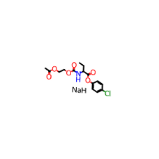 CCC(NC(=O)OCCOC(C)=O)C(=O)Oc1ccc(Cl)cc1.[NaH]